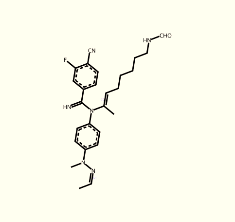 C/C=N\N(C)c1ccc(N(C(=N)c2ccc(C#N)c(F)c2)/C(C)=C/CCCCCNC=O)cc1